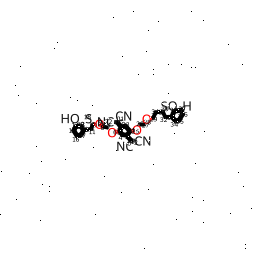 N#CC(C#N)=c1cc(OCCOC(Cc2ccccc2)S(=O)(=O)O)c(=C(C#N)C#N)cc1OCCOCCC(Cc1ccccc1)S(=O)(=O)O